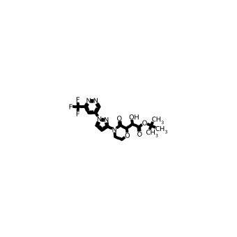 CC(C)(C)OC(=O)C(O)C1OCCN(c2ccn(-c3cnnc(C(F)(F)F)c3)n2)C1=O